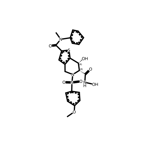 COc1ccc(S(=O)(=O)N2Cc3cc(C(=O)N(C)c4ccccc4)sc3[C@H](O)[C@@H]2C(=O)NO)cc1